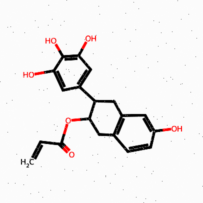 C=CC(=O)OC1Cc2ccc(O)cc2CC1c1cc(O)c(O)c(O)c1